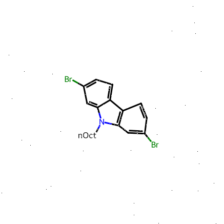 CCCCCCCCn1c2cc(Br)ccc2c2ccc(Br)cc21